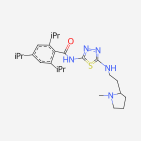 CC(C)c1cc(C(C)C)c(C(=O)Nc2nnc(NCCC3CCCN3C)s2)c(C(C)C)c1